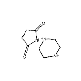 C1CNCCN1.O=C1CCC(=O)N1